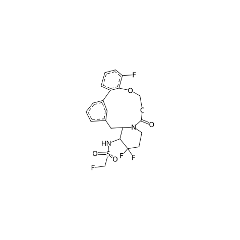 O=C1CCOc2c(F)cccc2-c2cccc(c2)CC2C(NS(=O)(=O)CF)C(F)(F)CCN12